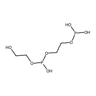 OCCOP(O)OCCOP(O)O